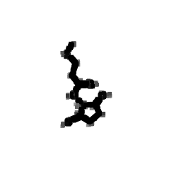 CSCCC(=O)ON1C(=O)CCC1=O